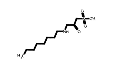 CCCCCCCCNCC(=O)CS(=O)(=O)O